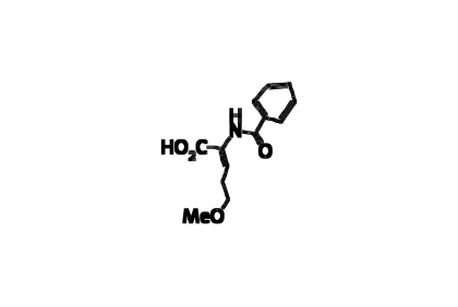 COCCC=C(NC(=O)c1ccccc1)C(=O)O